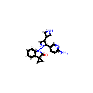 Nc1ccc(C2C(C3CNC3)CN2N2C(=O)C3(CC3)c3ccccc32)cn1